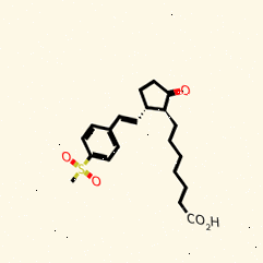 CS(=O)(=O)c1ccc(C=C[C@@H]2CCC(=O)[C@H]2CCCCCCC(=O)O)cc1